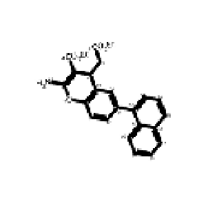 CCOC(=O)CC1C(C(=O)OCC)=C(N)Oc2ccc(-c3cccc4ccccc34)cc21